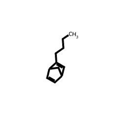 CCCCC1=CC2C=CC1C2